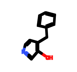 Oc1cnccc1Cc1ccccc1